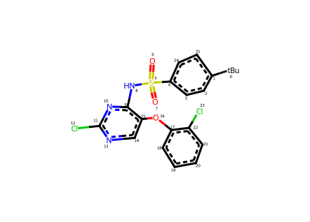 CC(C)(C)c1ccc(S(=O)(=O)Nc2nc(Cl)ncc2Oc2ccccc2Cl)cc1